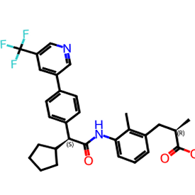 Cc1c(C[C@@H](C)C(=O)O)cccc1NC(=O)[C@H](c1ccc(-c2cncc(C(F)(F)F)c2)cc1)C1CCCC1